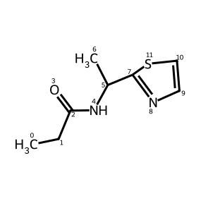 CCC(=O)NC(C)c1nccs1